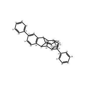 CC(C)=C1C2c3cc(-c4ccccc4)ccc3C1C1C3OC(C=C3c3ccccc3)C21